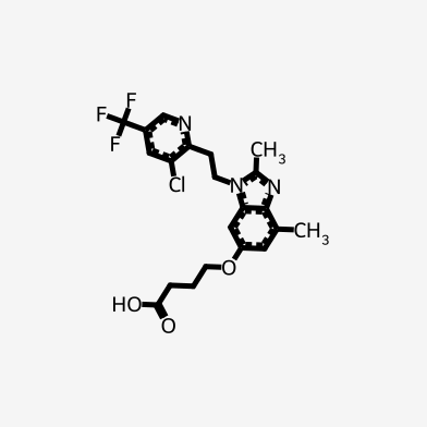 Cc1cc(OCCCC(=O)O)cc2c1nc(C)n2CCc1ncc(C(F)(F)F)cc1Cl